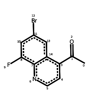 CC(=O)c1ccnc2c(F)cc(Br)cc12